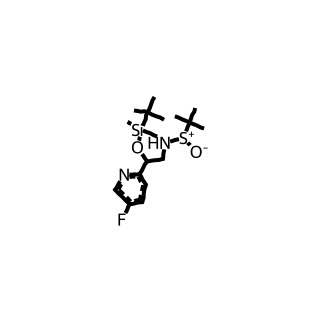 CC(C)(C)[S+]([O-])NCC(O[Si](C)(C)C(C)(C)C)c1ccc(F)cn1